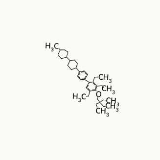 CCc1cc(-c2ccc(C3CCC(C4CCC(C)CC4)CC3)cc2)c(CC)c(CC)c1OCC(CC)(CC)CC